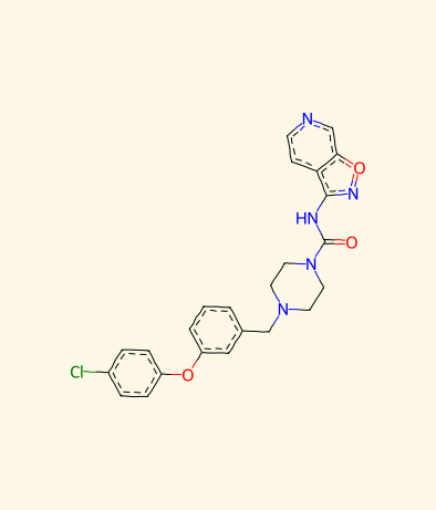 O=C(Nc1noc2cnccc12)N1CCN(Cc2cccc(Oc3ccc(Cl)cc3)c2)CC1